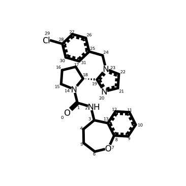 O=C(NC1CCCOc2ccccc21)N1CCC[C@@H]1c1nccn1Cc1ccc(Cl)cc1